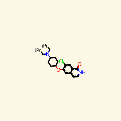 CC(C)CN(CC(C)C)[C@H]1CC[C@@H](Oc2cc3cc[nH]c(=O)c3cc2Cl)CC1